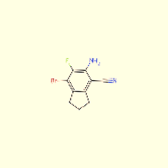 N#Cc1c(N)c(F)c(Br)c2c1CCC2